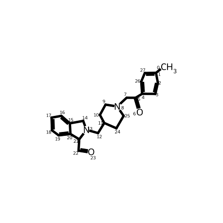 Cc1ccc(C(=O)CN2CCC(CN3Cc4ccccc4C3C=O)CC2)cc1